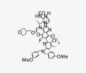 COc1ccc(CN(Cc2ccc(OC)cc2)c2cc(C)c(C(F)(F)F)c(-c3c(F)c4c5c(c3Cl)=NCNC=5N(C(C)c3cccnc3NC(=O)O)C=C(OCC3CCOCC3)O4)n2)cc1